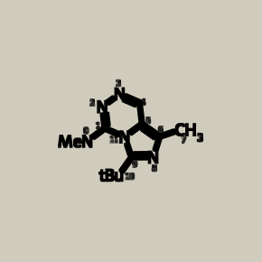 CNc1nncc2c(C)nc(C(C)(C)C)n12